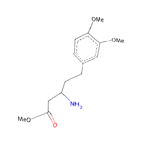 COC(=O)CC(N)CCc1ccc(OC)c(OC)c1